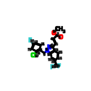 COC(=O)C=Cc1nn(Cc2ccc(F)cc2Cl)c2cc(C(F)F)ccc12